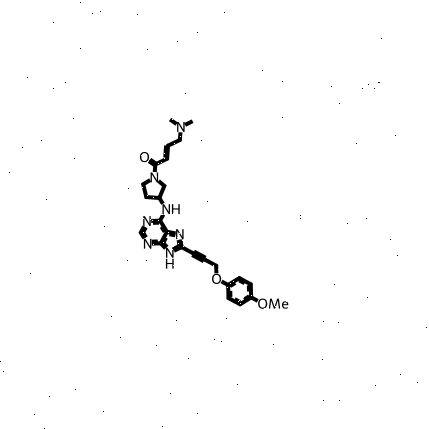 COc1ccc(OCC#Cc2nc3c(NC4CCN(C(=O)/C=C/CN(C)C)C4)ncnc3[nH]2)cc1